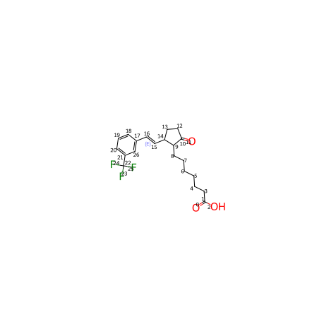 O=C(O)CCCCCCC1C(=O)CCC1/C=C/c1cccc(C(F)(F)F)c1